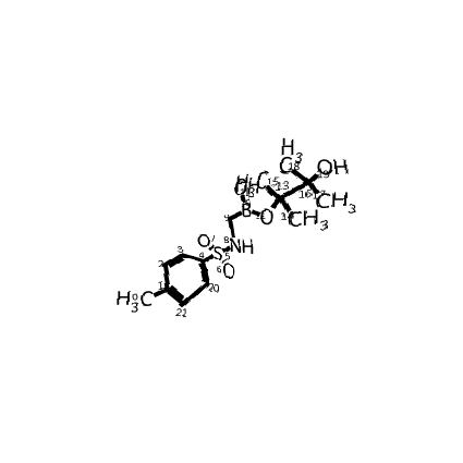 Cc1ccc(S(=O)(=O)NCB(O)OC(C)(C)C(C)(C)O)cc1